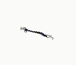 CCCCC/C=C/CCCCCC/C=C/C/C=C/CC(=O)O